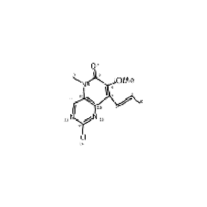 CC=Cc1c(OC)c(=O)n(C)c2cnc(Cl)nc12